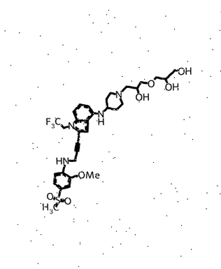 COc1cc(S(C)(=O)=O)ccc1NCC#Cc1cc2c(NC3CCN(CC(O)COCC(O)CO)CC3)cccc2n1CC(F)(F)F